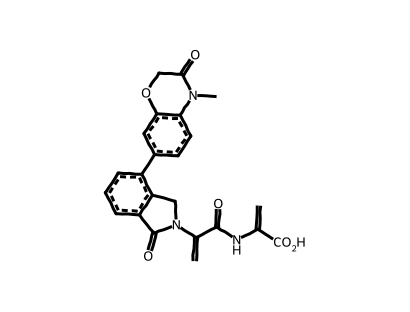 C=C(NC(=O)C(=C)N1Cc2c(cccc2-c2ccc3c(c2)OCC(=O)N3C)C1=O)C(=O)O